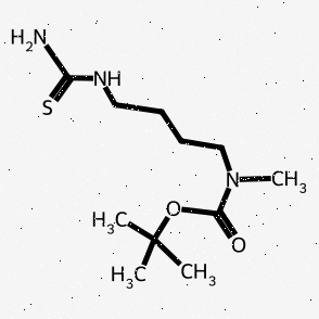 CN(CCCCNC(N)=S)C(=O)OC(C)(C)C